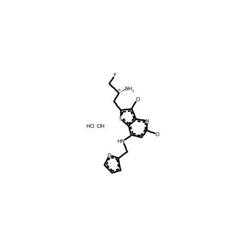 Cl.Cl.N[C@@H](CF)Cc1sc2c(NCc3ccco3)cc(Cl)nc2c1Cl